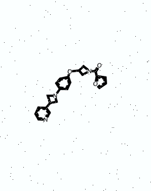 O=C(c1ccco1)N1CC(Oc2ccc(N3CC(c4cccnc4)C3)cc2)C1